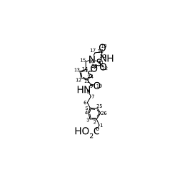 O=C(O)Cc1ccc(CCNC(=O)c2ccc(CN3CC(=O)NS3(=O)=O)s2)cc1